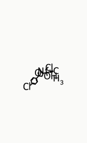 CC#CC(O)(CCl)C1=NOC(c2ccc(Cl)cc2)C1